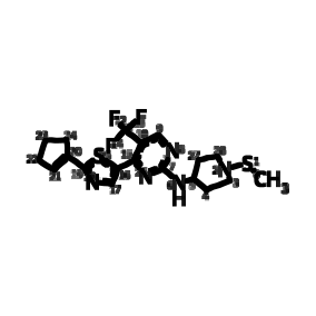 CSN1CCC(Nc2ncc(C(F)(F)F)c(-c3cnc(C4=CCCC4)s3)n2)CC1